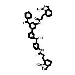 O=C(CCc1cccc2c1B(O)OC2)Nc1cc(C(=O)c2ccccc2)cc(-c2cccc(C(O)c3cccc(NC(=O)CCc4cccc5c4B(O)OC5)c3)c2)c1